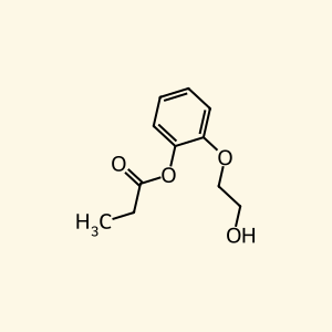 CCC(=O)Oc1ccccc1OCCO